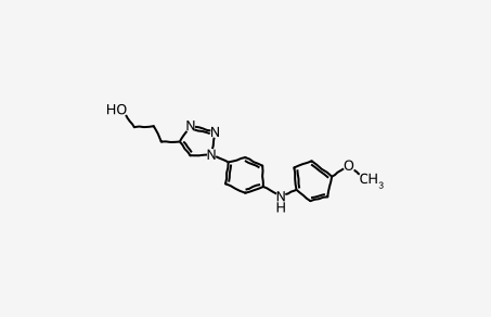 COc1ccc(Nc2ccc(-n3cc(CCCO)nn3)cc2)cc1